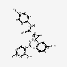 CCc1nc(C)ncc1OC[C@@]1(c2cccc(F)c2)C[C@H]1C(=O)Nc1ccc(F)cc1